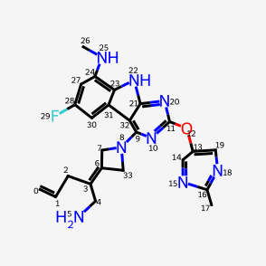 C=CCC(CN)=C1CN(c2nc(Oc3cnc(C)nc3)nc3[nH]c4c(NC)cc(F)cc4c23)C1